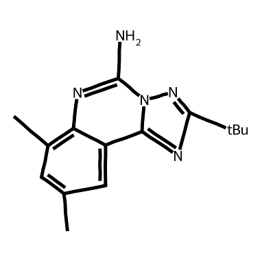 Cc1cc(C)c2nc(N)n3nc(C(C)(C)C)nc3c2c1